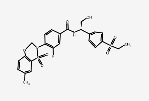 CCS(=O)(=O)c1ccc([C@H](CO)NC(=O)c2ccc(N3COc4ccc(C)cc4S3(=O)=O)c(F)c2)cc1